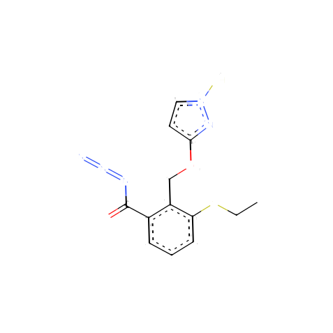 CCSc1cccc(C(=O)N=[N+]=[N-])c1COc1ccn(S)n1